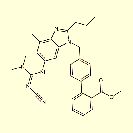 CCCc1nc2c(C)cc(N/C(=N\C#N)N(C)C)cc2n1Cc1ccc(-c2ccccc2C(=O)OC)cc1